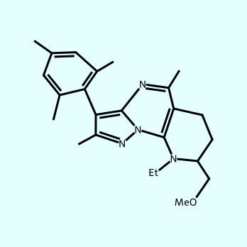 CCN1c2c(c(C)nc3c(-c4c(C)cc(C)cc4C)c(C)nn23)CCC1COC